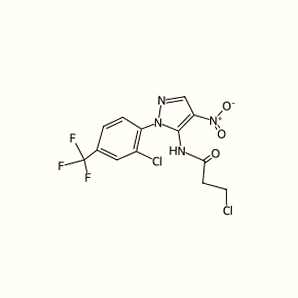 O=C(CCCl)Nc1c([N+](=O)[O-])cnn1-c1ccc(C(F)(F)F)cc1Cl